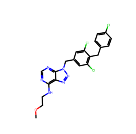 COCCNc1ncnc2c1nnn2Cc1cc(Cl)c(Cc2ccc(Cl)cc2)c(Cl)c1